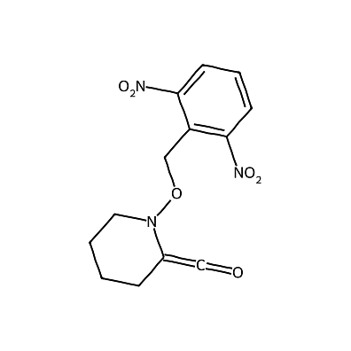 O=C=C1CCCCN1OCc1c([N+](=O)[O-])cccc1[N+](=O)[O-]